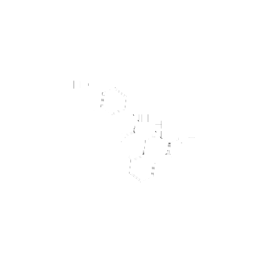 Cc1ccc(NC(=O)C(NC(=O)O)c2ccccc2)cc1